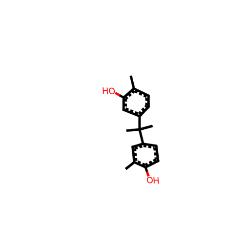 Cc1cc(C(C)(C)c2ccc(C)c(O)c2)ccc1O